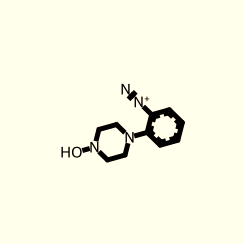 N#[N+]c1ccccc1N1CCN(O)CC1